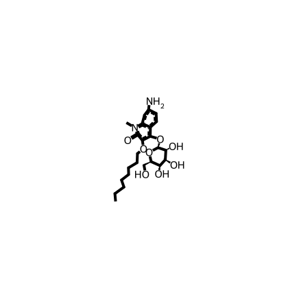 CCCCCCCCOc1c(O[C@@H]2O[C@H](CO)[C@H](O)[C@H](O)[C@H]2O)c2ccc(N)cc2n(C)c1=O